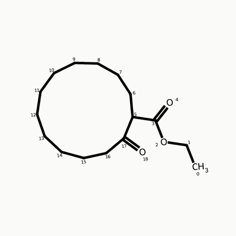 CCOC(=O)C1CCCCCCCCCCCC1=O